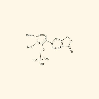 COc1ccc(-c2ccc3c(c2)COC3=O)c(OCC(C)(C)O)c1OC